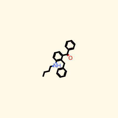 CCCCNc1cccc(C(=O)c2ccccc2)c1Cc1ccccc1